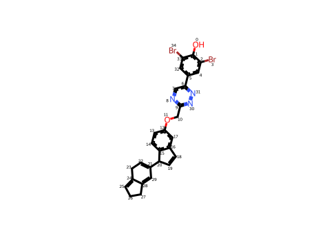 Oc1c(Br)cc(-c2cnc(COc3ccc4c(c3)C=CC4C3=CCC4=CCCC4=C3)nn2)cc1Br